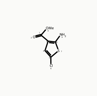 COC(=O)c1cc(Cl)sc1N